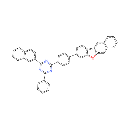 c1ccc(-c2nc(-c3ccc(-c4ccc5c(c4)oc4cc6ccccc6cc45)cc3)nc(-c3ccc4ccccc4c3)n2)cc1